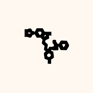 O=C(NC[N+]1(CCCc2c[nH]c3ccc(-n4cnnc4)cc23)CCNCC1)c1ccccc1